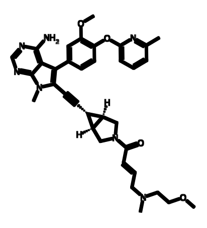 COCCN(C)C/C=C/C(=O)N1C[C@@H]2[C@@H](C#Cc3c(-c4ccc(Oc5cccc(C)n5)c(OC)c4)c4c(N)ncnc4n3C)[C@@H]2C1